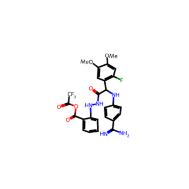 COc1cc(F)c(C(Nc2ccc(C(=N)N)cc2)C(=O)NNc2ccccc2C(=O)OC(=O)C(F)(F)F)cc1OC